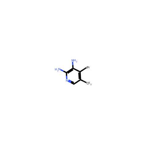 CC(C)c1c(C(F)(F)F)cnc(N)c1N